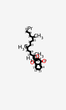 C/C(=C\CC12OC1(C)C(=O)c1ccccc1C2=O)CCCC(C)CCCC(C)CCCC(C)C